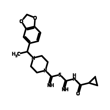 CC(c1ccc2c(c1)OCO2)N1CCN(C(=N)SC(=N)NC(=O)C2CC2)CC1